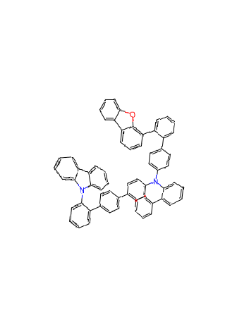 c1ccc(-c2ccccc2N(c2ccc(-c3ccc(-c4ccccc4-n4c5ccccc5c5ccccc54)cc3)cc2)c2ccc(-c3ccccc3-c3cccc4c3oc3ccccc34)cc2)cc1